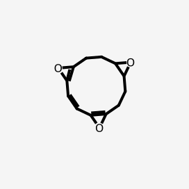 C1=CC2=C(CCC3OC3CCC3=C1O3)O2